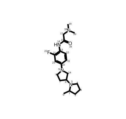 CC1CCCN1C1CCN(c2ccc(NC(=O)CN(C)C)c(F)c2)C1